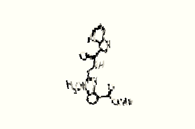 COC(=O)c1cccc2c1nc(CNC(=O)c1cnn3cccnc13)n2C